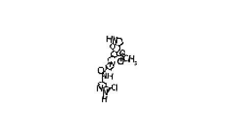 CS(=O)(=O)c1cc(Cc2cc(C(=O)NCc3cnc4[nH]cc(Cl)c4c3)ccn2)ccc1Cc1ccc[nH]c1=O